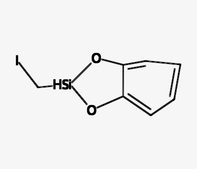 IC[SiH]1Oc2ccccc2O1